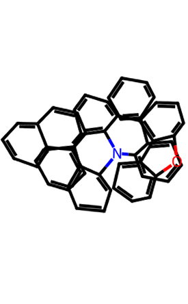 c1ccc(-c2ccccc2N(c2ccccc2-c2cccc3ccccc23)c2c(-c3ccccc3)cccc2-c2cccc3oc4ccccc4c23)cc1